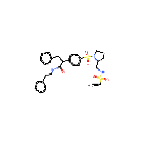 C=CS(=O)(=O)NCC1CCCN1S(=O)(=O)c1ccc(C(Cc2ccccc2)C(=O)NCCc2ccccc2)cc1